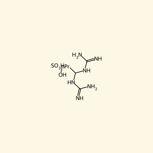 CCCC(NC(=N)N)NC(=N)N.O=S(=O)(O)O